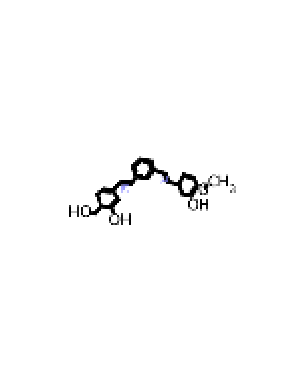 COC1=C(O)CC(/C=C/c2cccc(/C=C/C3=CCC(CO)C(O)=C3)c2)C=C1